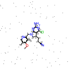 COc1c(C)cnc(CN2CC(CCC#N)c3c(Cl)nc(N)nc32)c1C